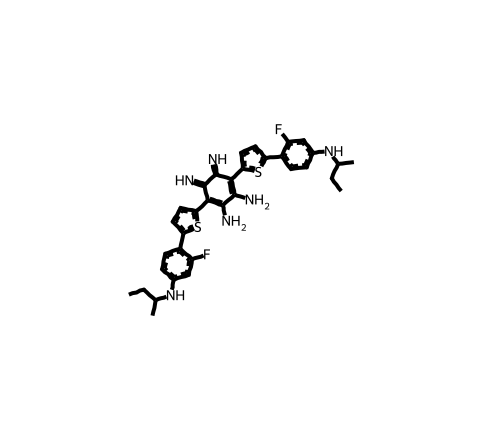 CCC(C)Nc1ccc(-c2ccc(C3=C(N)C(N)=C(c4ccc(-c5ccc(NC(C)CC)cc5F)s4)C(=N)C3=N)s2)c(F)c1